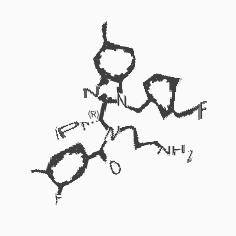 Cc1ccc2c(c1)nc([C@@H](C(C)C)N(CCCN)C(=O)c1ccc(C)c(F)c1)n2Cc1cccc(F)c1